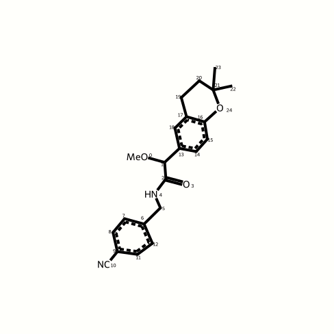 COC(C(=O)NCc1ccc(C#N)cc1)c1ccc2c(c1)CCC(C)(C)O2